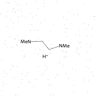 CNCCNC.[H+]